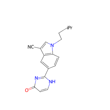 CC(C)CCn1cc(C#N)c2cc(-c3nc(=O)cc[nH]3)ccc21